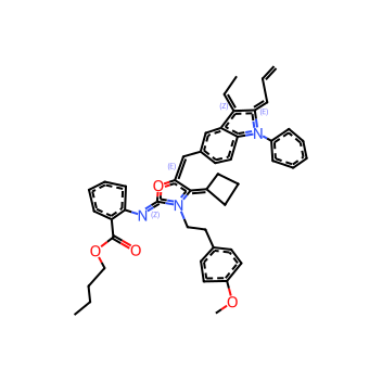 C=C/C=c1\c(=C/C)c2cc(/C=c3/o/c(=N\c4ccccc4C(=O)OCCCC)n(CCc4ccc(OC)cc4)c3=C3CCC3)ccc2n1-c1ccccc1